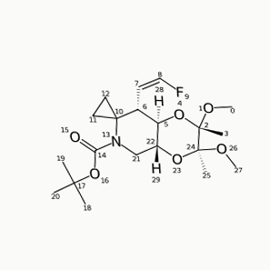 CO[C@@]1(C)O[C@@H]2[C@@H](/C=C\F)C3(CC3)N(C(=O)OC(C)(C)C)C[C@H]2O[C@]1(C)OC